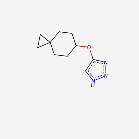 c1[nH]nnc1OC1CCC2(CC1)CC2